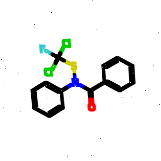 O=C(c1ccccc1)N(SC(F)(Cl)Cl)c1ccccc1